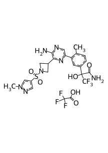 Cc1ccc(C(O)(C(N)=O)C(F)(F)F)cc1-c1cnc(N)c(C2CN(S(=O)(=O)c3cnn(C)c3)C2)n1.O=C(O)C(F)(F)F